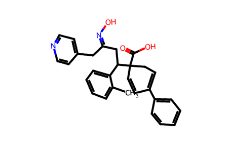 Cc1ccccc1C(C/C(Cc1ccncc1)=N\O)C1(C(=O)O)C=CC(c2ccccc2)=CC1